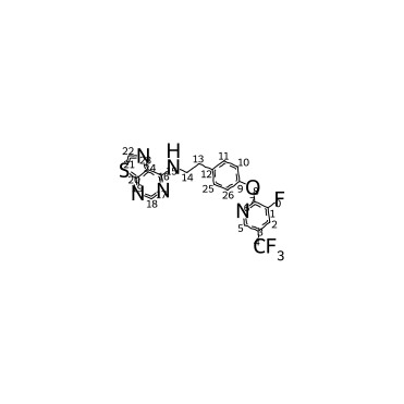 Fc1cc(C(F)(F)F)cnc1Oc1ccc(CCNc2ncnc3scnc23)cc1